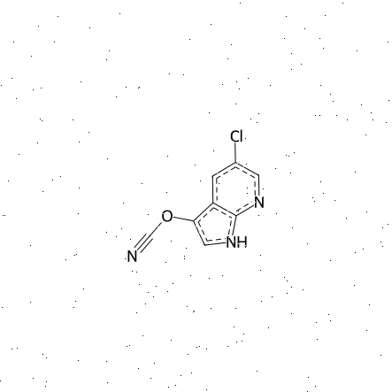 N#COc1c[nH]c2ncc(Cl)cc12